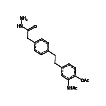 CC(=O)Nc1cc(CCc2ccc(CC(=O)NN)cc2)ccc1OC(C)=O